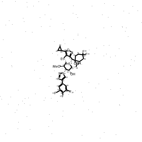 CCc1c([C@@H]([SH]2C[C@H](OC)[C@@H](n3cc(-c4cc(F)c(F)c(F)c4)nn3)[C@@H](O)[C@H]2CO)C2(O)CCC(F)(F)CC2)noc1C1CC1